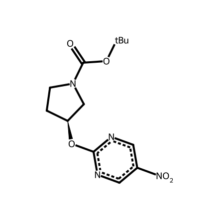 CC(C)(C)OC(=O)N1CC[C@H](Oc2ncc([N+](=O)[O-])cn2)C1